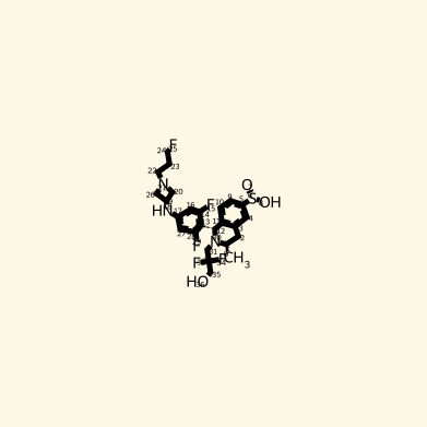 C[C@@H]1Cc2cc(S(=O)O)ccc2[C@@H](c2c(F)cc(NC3CN(CCCF)C3)cc2F)N1CC(F)(F)CO